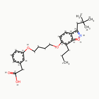 CCCc1c(OCCCCOc2cccc(CC(=O)O)c2)ccc2c(CC(C)(C)C)noc12